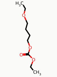 CCOCCCCOC(=O)OCC